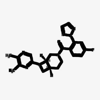 Cc1ncc(N2C[C@@H]3CCN(C(=O)c4ccc(F)cc4-n4nccn4)C[C@@H]32)nc1C